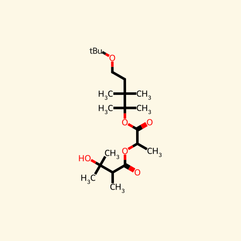 CC(OC(=O)C(C)C(C)(C)O)C(=O)OC(C)(C)C(C)(C)CCOC(C)(C)C